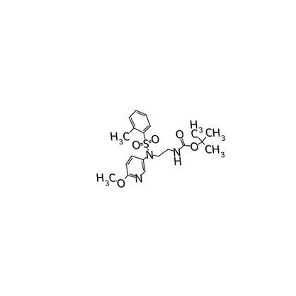 COc1ccc(N(CCNC(=O)OC(C)(C)C)S(=O)(=O)c2ccccc2C)cn1